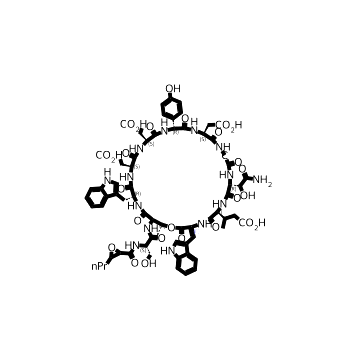 CCCC1OC1C(=O)N[C@@H](CO)C(=O)NC1C(=O)N[C@H](Cc2c[nH]c3ccccc23)C(=O)N[C@@H](CC(=O)O)C(=O)N[C@@H](CC(=O)O)C(=O)N[C@H](c2ccc(O)cc2)C(=O)N[C@@H](CC(=O)O)C(=O)NCC(=O)N[C@H](C(O)C(N)=O)C(=O)N[C@@H](C(C)CC(=O)O)C(=O)N/C(=C/c2c[nH]c3ccccc23)C(=O)O[C@@H]1C